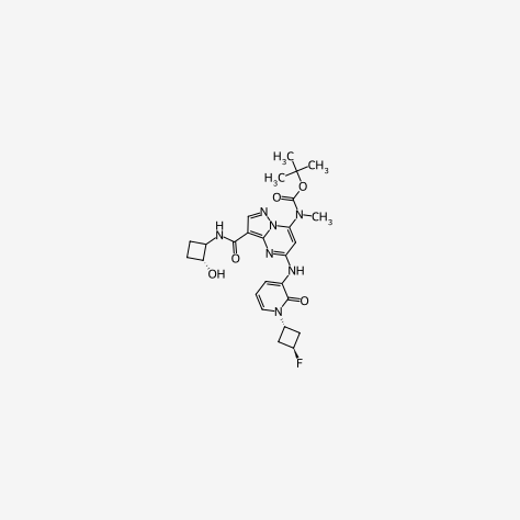 CN(C(=O)OC(C)(C)C)c1cc(Nc2cccn([C@H]3C[C@H](F)C3)c2=O)nc2c(C(=O)NC3CC[C@H]3O)cnn12